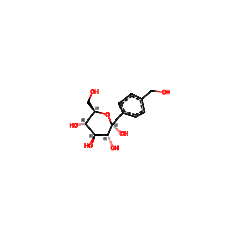 OCc1ccc([C@]2(O)O[C@H](CO)[C@@H](O)[C@H](O)[C@H]2O)cc1